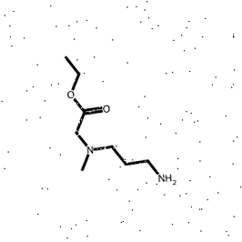 CCOC(=O)CN(C)CCCN